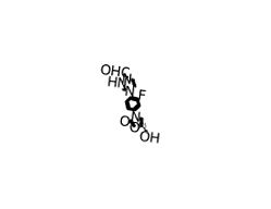 O=CN1CCN(c2ccc(N3C[C@H](CO)OC3=O)cc2F)CN1